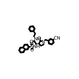 N#Cc1cccc(CN2CC[C@@H](C(NS(=O)(=O)c3ccc4ccccc4c3)C(=O)NCCc3ccccc3)C2=O)c1